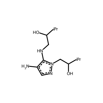 CC(C)C(O)CNc1c(N)cnn1CC(O)C(C)C